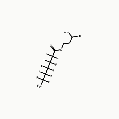 CCCCN(CCCC)CCOC(=O)C(F)(F)C(F)(F)C(F)(F)C(F)(F)C(F)(F)C(F)(F)F